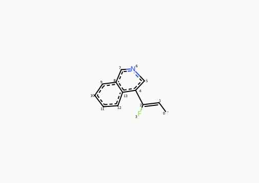 [CH2]/C=C(\F)c1cncc2ccccc12